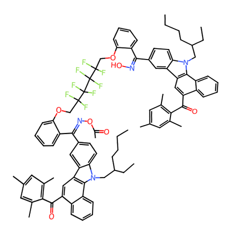 CCCCC(CC)Cn1c2ccc(C(=NO)c3ccccc3OCC(F)(F)C(F)(F)C(F)(F)C(F)(F)COc3ccccc3C(=NOC(C)=O)c3ccc4c(c3)c3cc(C(=O)c5c(C)cc(C)cc5C)c5ccccc5c3n4CC(CC)CCCC)cc2c2cc(C(=O)c3c(C)cc(C)cc3C)c3ccccc3c21